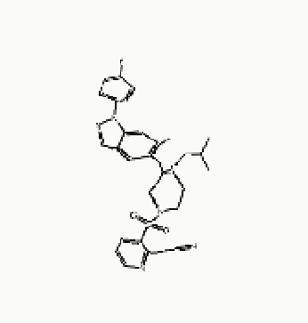 Cc1cc2c(cnn2-c2ccc(F)cc2)cc1C1CN(S(=O)(=O)c2cccnc2C#N)CCN1CC(C)C